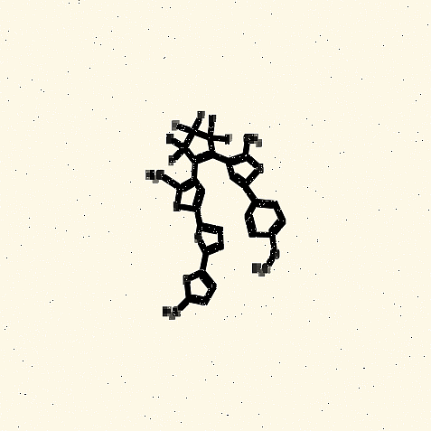 COc1ccc(-c2cc(C3=C(c4cc(-c5ccc(-c6ccc(C)s6)s5)sc4C)C(F)(F)C(F)(F)C3(F)F)c(C)s2)cc1